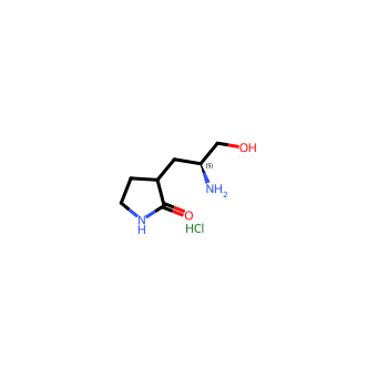 Cl.N[C@H](CO)CC1CCNC1=O